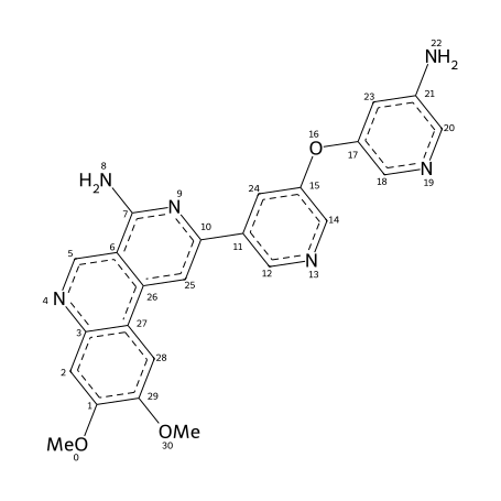 COc1cc2ncc3c(N)nc(-c4cncc(Oc5cncc(N)c5)c4)cc3c2cc1OC